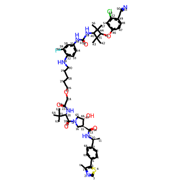 Cc1ncsc1-c1ccc([C@H](C)NC(=O)[C@H]2CN(C(=O)[C@@H](NC(=O)COCCCCCNc3ccc(NC(=O)NC4C(C)(C)C(Oc5ccc(C#N)c(Cl)c5)C4(C)C)cc3F)C(C)(C)C)C[C@@H]2O)cc1